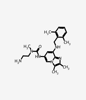 Cc1cccc(C)c1CNc1cc(NC(=O)N(C)CCN)cn2c(C)c(C)nc12